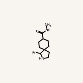 CC(C)C1NCCC12CCC(C(=O)NN)CC2